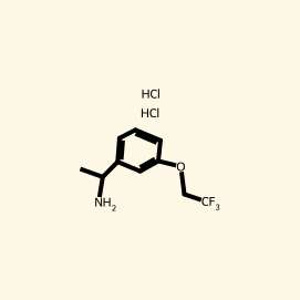 CC(N)c1cccc(OCC(F)(F)F)c1.Cl.Cl